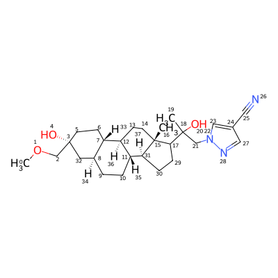 COC[C@@]1(O)CC[C@H]2[C@@H](CC[C@@H]3[C@@H]2CC[C@]2(C)C(C(C)(O)Cn4cc(C#N)cn4)CC[C@@H]32)C1